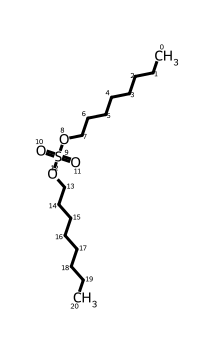 CCCCCCCCOS(=O)(=O)OCCCCCCCC